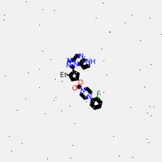 CC[C@@H]1C[C@H](OC(=O)N2CCN(c3ccccc3F)CC2)C[C@@H]1c1nnc2cnc3[nH]ccc3n12